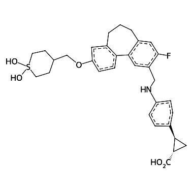 O=C(O)[C@H]1C[C@@H]1c1ccc(NCc2cc3c(cc2F)CCCc2cc(OCC4CCS(O)(O)CC4)ccc2-3)cc1